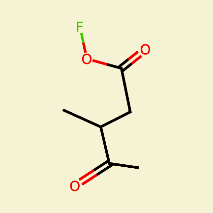 CC(=O)C(C)CC(=O)OF